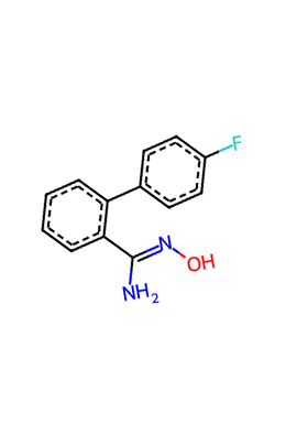 NC(=NO)c1ccccc1-c1ccc(F)cc1